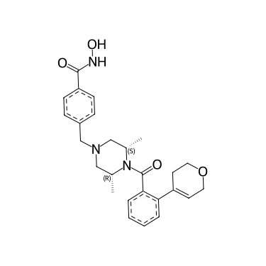 C[C@@H]1CN(Cc2ccc(C(=O)NO)cc2)C[C@H](C)N1C(=O)c1ccccc1C1=CCOCC1